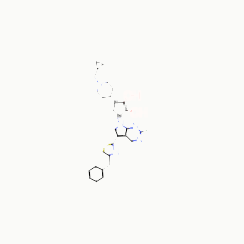 O[C@@H]1[C@H](O)[C@@H](C2CCN(CC3CC3)CC2)C[C@H]1n1cc(-c2nc(Cc3ccccc3)cs2)c2cnc(Cl)nc21